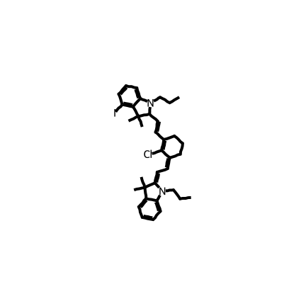 CCCN1C(=CC=C2CCCC(C=CC3N(CCC)c4cccc(I)c4C3(C)C)=C2Cl)C(C)(C)c2ccccc21